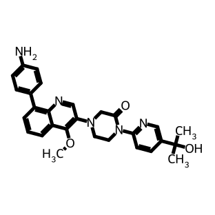 COc1c(N2CCN(c3ccc(C(C)(C)O)cn3)C(=O)C2)cnc2c(-c3ccc(N)cc3)cccc12